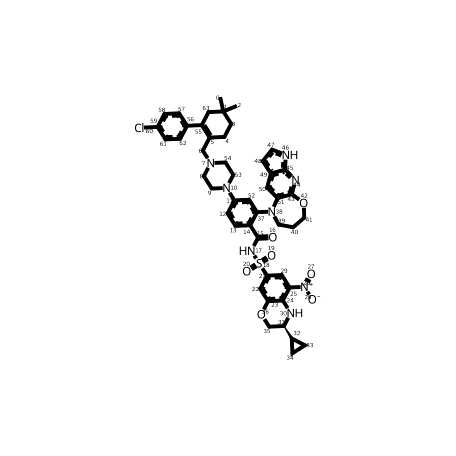 CC1(C)CCC(CN2CCN(c3ccc(C(=O)NS(=O)(=O)c4cc5c(c([N+](=O)[O-])c4)N[C@@H](C4CC4)CO5)c(N4CCCOc5nc6[nH]ccc6cc54)c3)CC2)=C(c2ccc(Cl)cc2)C1